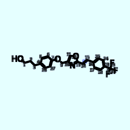 OCCCc1ccc(OCc2coc(/C=C/c3ccc(C(F)(F)F)cc3)n2)cc1